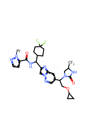 CC(C)n1nccc1C(=O)NC(c1cn2ncc(C(COC3CC3)N3CC(C(F)(F)F)NC3=O)cc2n1)C1CCC(F)(F)CC1